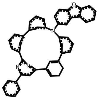 C1=C2CCC=C1c1cc(-c3ccccc3)nc(n1)-c1cccc(c1)-c1cccc(c1)N(c1ccc3oc4ccccc4c3c1)c1cccc2c1